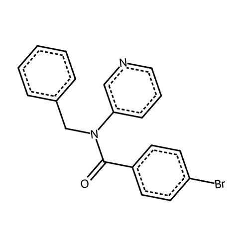 O=C(c1ccc(Br)cc1)N(Cc1ccccc1)c1cccnc1